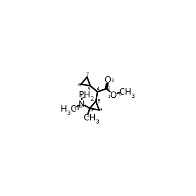 COC(=O)C(C1CC1)C1CC1(C)N(C)P